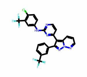 FC(F)(F)c1cccc(-c2nn3ncccc3c2-c2ccnc(Nc3ccc(Cl)c(C(F)(F)F)c3)n2)c1